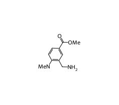 CNc1ccc(C(=O)OC)cc1CN